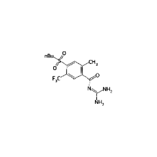 CCCCS(=O)(=O)c1cc(C)c(C(=O)N=C(N)N)cc1C(F)(F)F